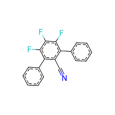 N#Cc1c(-c2ccccc2)c(F)c(F)c(F)c1-c1ccccc1